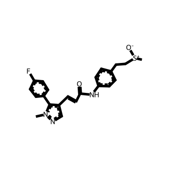 Cn1ncc(/C=C/C(=O)Nc2ccc(CC[S+](C)[O-])cc2)c1-c1ccc(F)cc1